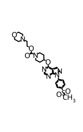 CS(=O)(=O)c1ccc(-n2ncc3c(OC4CCN(C(=O)OCCN5CCOCC5)CC4)ncnc32)cc1